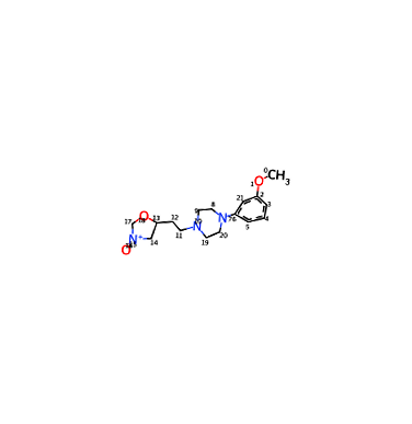 COc1cccc(N2CCN(CCC3C[N+](=O)CO3)CC2)c1